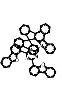 c1ccc2c(c1)-c1ccccc1C21c2ccccc2-c2c1c1c(c3ccccc23)c2ccccc2n1-c1nc(-c2cccc3c2oc2ccccc23)nc(-c2cccc3c2oc2ccccc23)n1